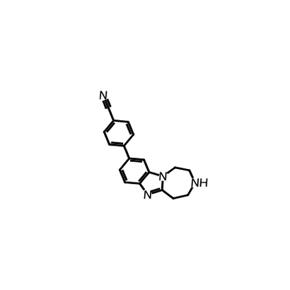 N#Cc1ccc(-c2ccc3nc4n(c3c2)CCNCC4)cc1